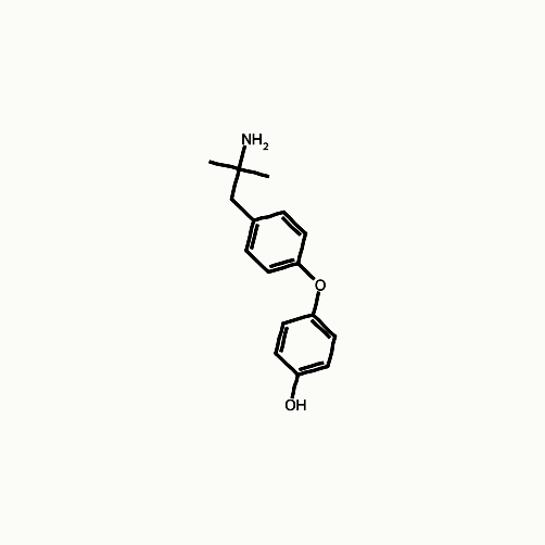 CC(C)(N)Cc1ccc(Oc2ccc(O)cc2)cc1